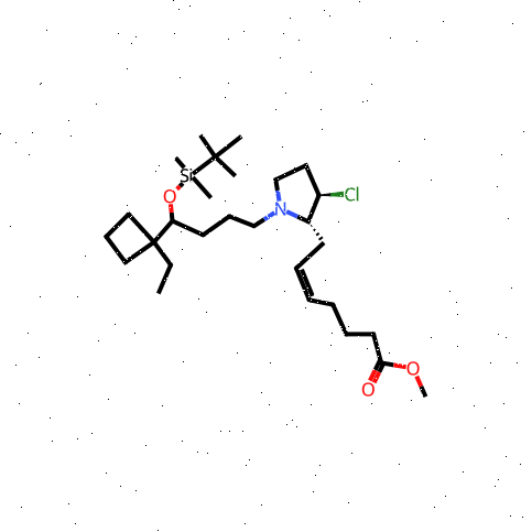 CCC1(C(CCCN2CC[C@@H](Cl)[C@@H]2C/C=C\CCCC(=O)OC)O[Si](C)(C)C(C)(C)C)CCC1